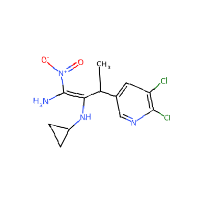 CC(C(NC1CC1)=C(N)[N+](=O)[O-])c1cnc(Cl)c(Cl)c1